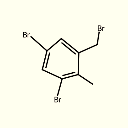 Cc1c(Br)cc(Br)cc1CBr